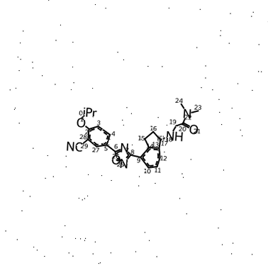 CC(C)Oc1ccc(-c2nc(-c3cccc4c3CC[C@@H]4NCC(=O)N(C)C)no2)cc1C#N